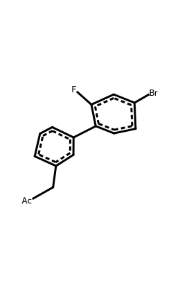 CC(=O)Cc1cccc(-c2ccc(Br)cc2F)c1